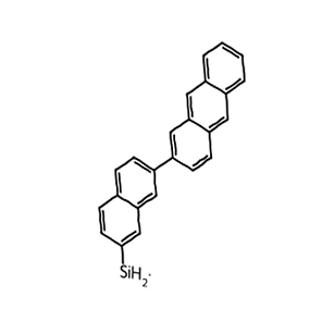 [SiH2]c1ccc2ccc(-c3ccc4cc5ccccc5cc4c3)cc2c1